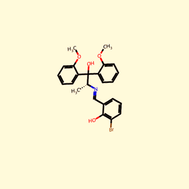 COc1ccccc1C(O)(c1ccccc1OC)[C@@H](C)N=Cc1cccc(Br)c1O